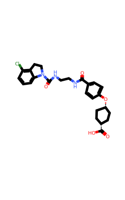 O=C(NCCNC(=O)N1CCc2c(Cl)cccc21)c1ccc(O[C@H]2CC[C@@H](C(=O)O)CC2)cc1